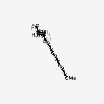 CCC(=O)NCCNC(=O)c1nc(N)c(C(=O)NCCNC(=O)CCOCCOCCOCCOCCOCCOCCOCCOCCOCCOCCOCCOC)nc1N